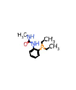 CCP(CC)c1ccccc1NC(=O)NC